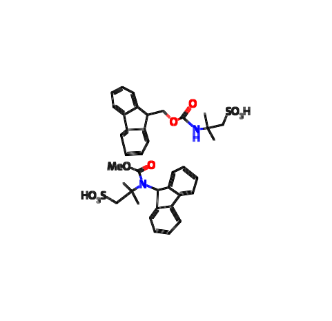 CC(C)(CS(=O)(=O)O)NC(=O)OCC1c2ccccc2-c2ccccc21.COC(=O)N(C1c2ccccc2-c2ccccc21)C(C)(C)CS(=O)(=O)O